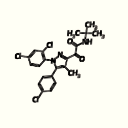 Cc1c(C(=O)C(=O)NC(C)(C)C)nn(-c2ccc(Cl)cc2Cl)c1-c1ccc(Cl)cc1